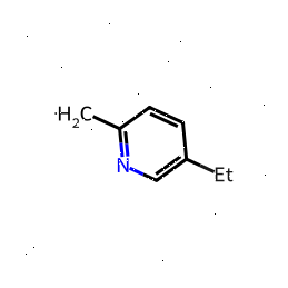 [CH2]c1ccc(CC)cn1